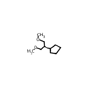 COC[C](COC)C1CCCC1